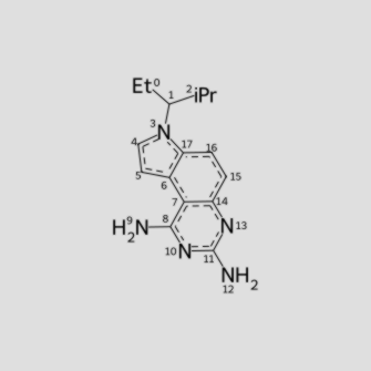 CCC(C(C)C)n1ccc2c3c(N)nc(N)nc3ccc21